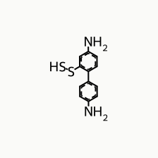 Nc1ccc(-c2ccc(N)cc2SS)cc1